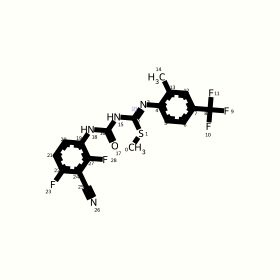 CS/C(=N\c1ccc(C(F)(F)F)cc1C)NC(=O)Nc1ccc(F)c(C#N)c1F